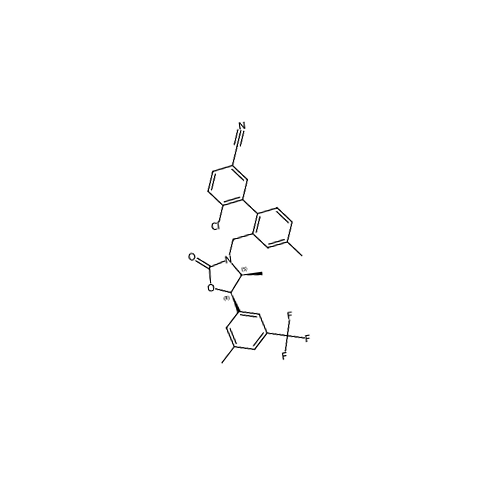 Cc1cc([C@H]2OC(=O)N(Cc3cc(C)ccc3-c3cc(C#N)ccc3Cl)[C@H]2C)cc(C(F)(F)F)c1